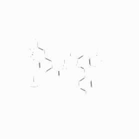 CCc1cc(-c2nc(C(CNC(=O)c3cc(OC4CC4)c4nnc(C)cc4c3)C(F)(F)F)cc3c2OCC3C)ccc1F